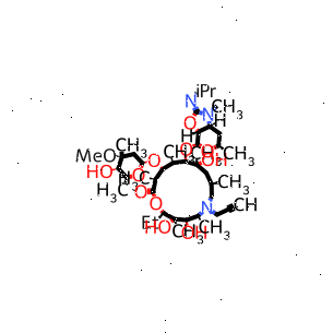 C#CCN1C[C@H](C)C[C@@](C)(O)[C@H](O[C@@H]2O[C@H](C)C[C@H]3[C@H]2OC(=NC(C)C)N3C)[C@@H](C)[C@H](O[C@H]2C[C@@](C)(OC)[C@@H](O)[C@H](C)O2)[C@@H](C)C(=O)O[C@H](CC)[C@@](C)(O)[C@H](O)[C@H]1C